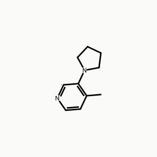 Cc1ccn[c]c1N1CCCC1